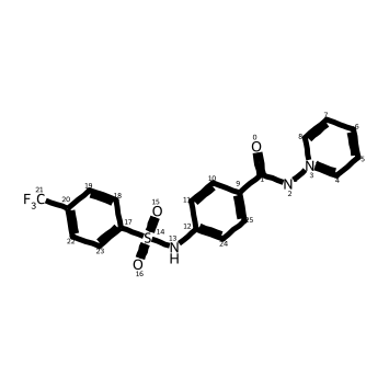 O=C([N-][n+]1ccccc1)c1ccc(NS(=O)(=O)c2ccc(C(F)(F)F)cc2)cc1